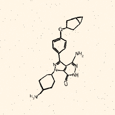 Nc1n[nH]c(=O)c2c1c(-c1ccc(OC3CC4CC4C3)cc1)nn2C1CCC(N)CC1